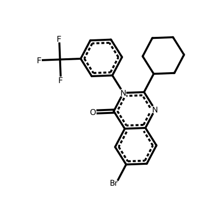 O=c1c2cc(Br)ccc2nc(C2CCCCC2)n1-c1cccc(C(F)(F)F)c1